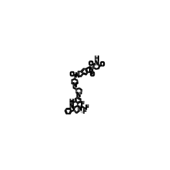 C[C@@H]1Cc2c([nH]c3ccccc23)[C@@H](c2c(F)cc(N3CCCC(CN4CCC(C(=O)N5Cc6cc7c(cc6C5)C(=O)N(C5CCC(=O)NC5=O)C7)CC4)C3)cc2F)N1CC(F)F